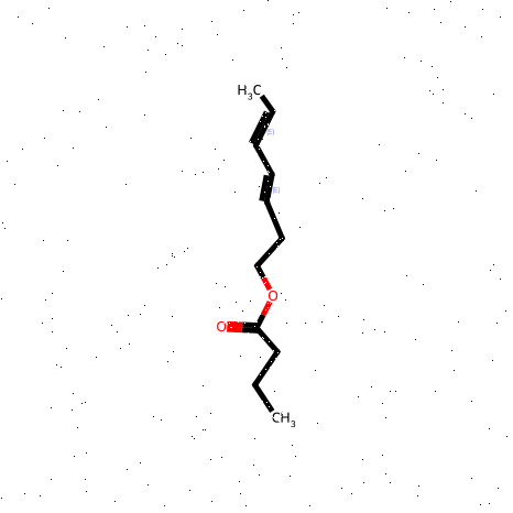 C/C=C/C=C/CCOC(=O)CCC